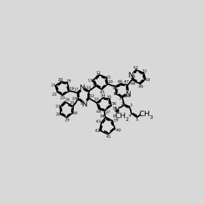 C=N/C(=C\C=C/C)c1cc(-c2cccc(-c3nc(-c4ccccc4)c(-c4ccccc4)nc3-c3cccc(-c4ccccc4)c3)c2)cc(-c2ccccn2)n1